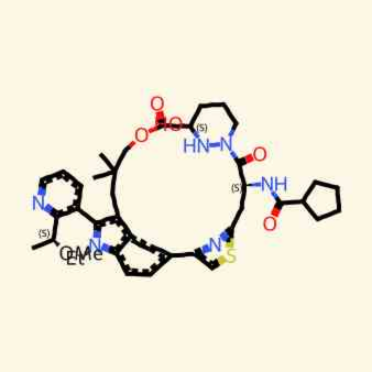 CCn1c(-c2cccnc2[C@H](C)OC)c2c3cc(ccc31)-c1csc(n1)C[C@H](NC(=O)C1CCCC1)C(=O)N1CCC[C@@](O)(N1)C(=O)OCC(C)(C)C2